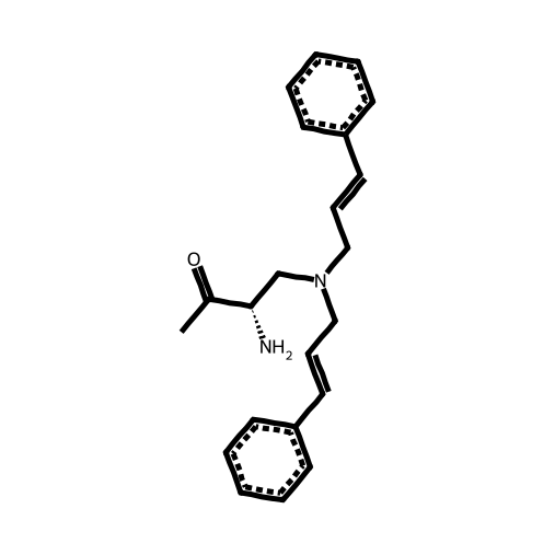 CC(=O)[C@@H](N)CN(C/C=C/c1ccccc1)C/C=C/c1ccccc1